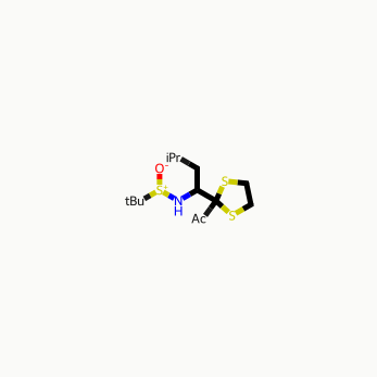 CC(=O)C1(C(CC(C)C)N[S+]([O-])C(C)(C)C)SCCS1